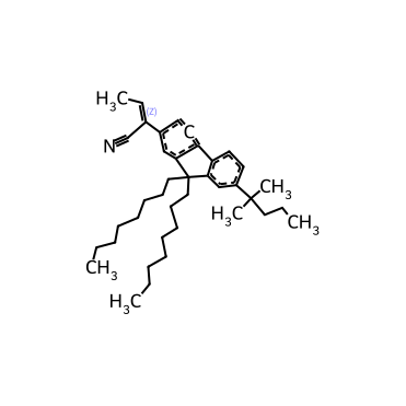 C/C=C(\C#N)c1ccc2c(c1)C(CCCCCCCC)(CCCCCCCC)c1cc(C(C)(C)CCC)ccc1-2